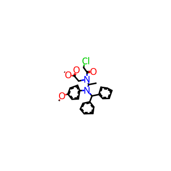 COC(=O)CN(C(=O)CCl)C(C)N(c1ccc(OC)cc1)C(c1ccccc1)c1ccccc1